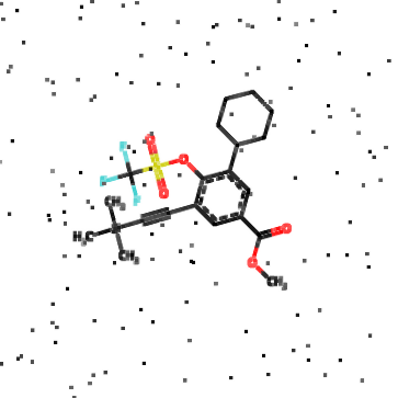 COC(=O)c1cc(C#C[Si](C)(C)C)c(OS(=O)(=O)C(F)(F)F)c(C2CCCCC2)c1